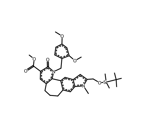 COC(=O)c1cc2c(n(Cc3ccc(OC)cc3OC)c1=O)-c1cc3cc(CO[Si](C)(C)C(C)(C)C)n(C)c3cc1CCC2